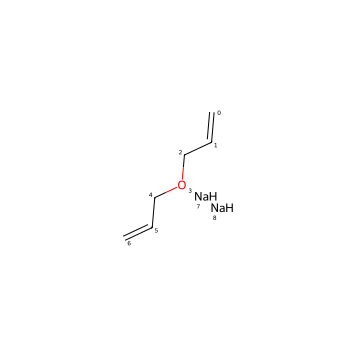 C=CCOCC=C.[NaH].[NaH]